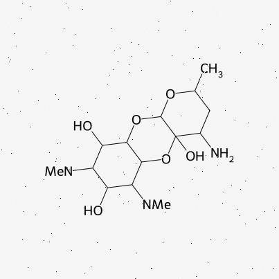 CNC1C(O)C(NC)C2OC3(O)C(N)CC(C)OC3OC2C1O